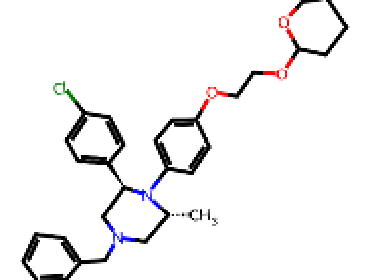 C[C@@H]1CN(Cc2ccccc2)C[C@@H](c2ccc(Cl)cc2)N1c1ccc(OCCOC2CCCCO2)cc1